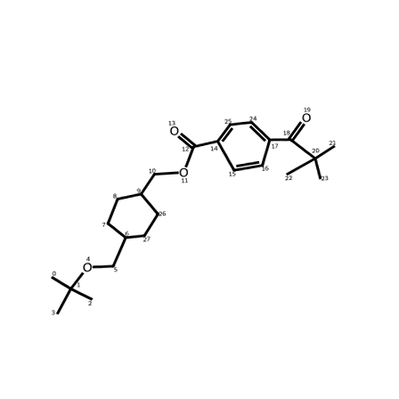 CC(C)(C)OCC1CCC(COC(=O)c2ccc(C(=O)C(C)(C)C)cc2)CC1